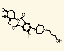 O=C1CCC(N2C(=O)c3cc(F)c(N4CCN(CCCO)CC4)cc3C2=O)C(=O)N1